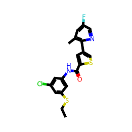 CCSc1cc(Cl)cc(NC(=O)c2cc(-c3ncc(F)cc3C)cs2)c1